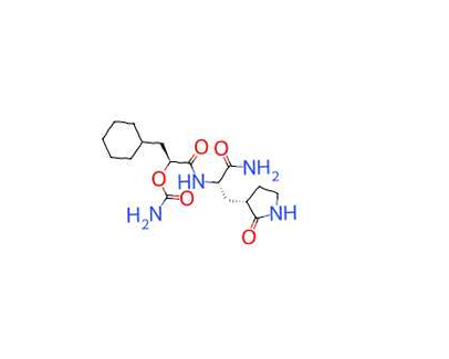 NC(=O)O[C@@H](CC1CCCCC1)C(=O)N[C@@H](C[C@@H]1CCNC1=O)C(N)=O